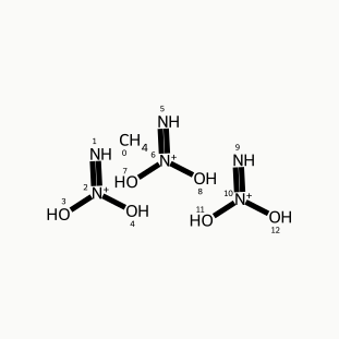 C.N=[N+](O)O.N=[N+](O)O.N=[N+](O)O